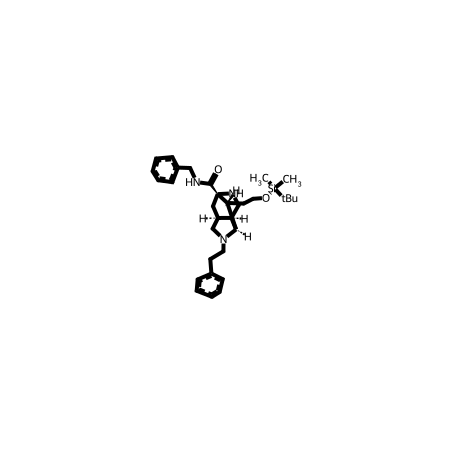 CC(C)(C)[Si](C)(C)OCC[C@@H]1[C@@H]2[C@@H]3CN[C@@]1(C(=O)NCc1ccccc1)C[C@@H]3CN2CCc1ccccc1